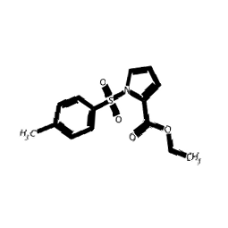 CCOC(=O)c1cccn1S(=O)(=O)c1ccc(C)cc1